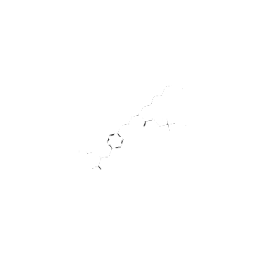 CCCCCCN(CCOc1ccc(CC(OCC)C(=O)O)cc1)C(=O)NCC(C)(C)C